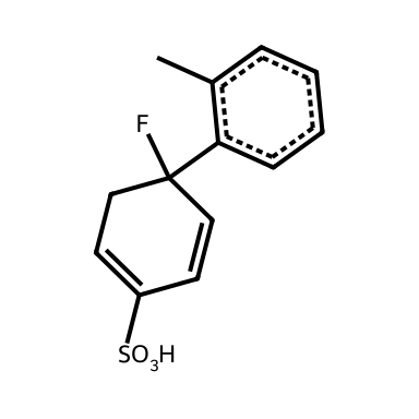 Cc1ccccc1C1(F)C=CC(S(=O)(=O)O)=CC1